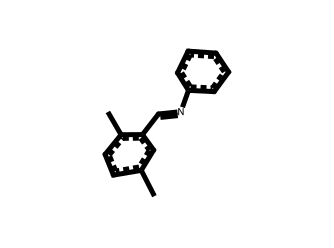 Cc1ccc(C)c(C=Nc2ccccc2)c1